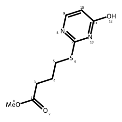 COC(=O)CCCSc1nccc(O)n1